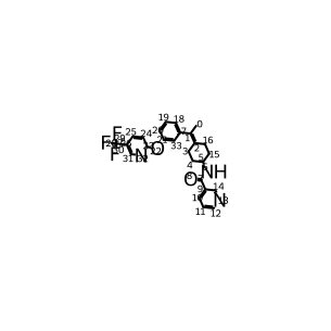 CC(=C1CCC(NC(=O)c2cccnc2)CC1)c1cccc(Oc2ccc(C(F)(F)F)cn2)c1